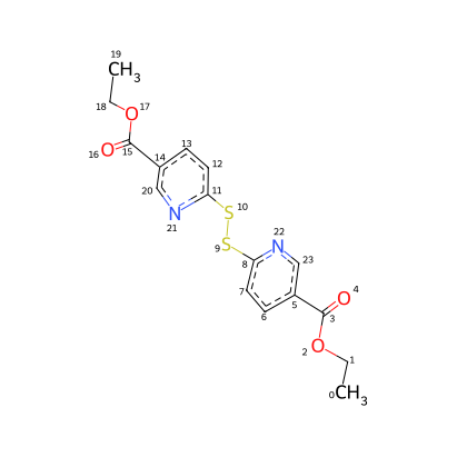 CCOC(=O)c1ccc(SSc2ccc(C(=O)OCC)cn2)nc1